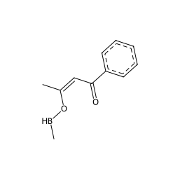 CBO/C(C)=C\C(=O)c1ccccc1